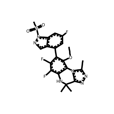 COc1c(-c2cc(F)cc3c2cnn3S(C)(=O)=O)c(F)c(F)c2c1-n1c(C)nnc1C(C)(C)N2